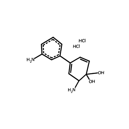 Cl.Cl.Nc1cccc(C2=CC(N)C(O)(O)C=C2)c1